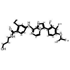 CCc1cc(Nc2nccn3c(-c4ccc(OC(F)F)c(F)c4F)cnc23)ccc1C(=O)NCCCO